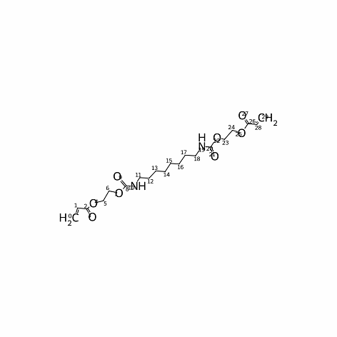 C=CC(=O)OCCOC(=O)NCCCCCCCCNC(=O)OCCOC(=O)C=C